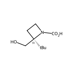 CC(C)(C)[C@]1(CO)CCN1C(=O)O